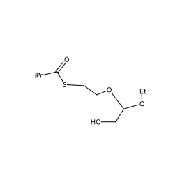 CCOC(CO)OCCSC(=O)C(C)C